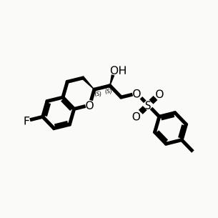 Cc1ccc(S(=O)(=O)OC[C@H](O)[C@@H]2CCc3cc(F)ccc3O2)cc1